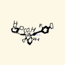 O=C1NCC[C@H]1C[C@H](NC(=O)[C@@H]1CCCNN1C(=O)/C=C/c1ccc(Cl)cc1F)C(=O)O